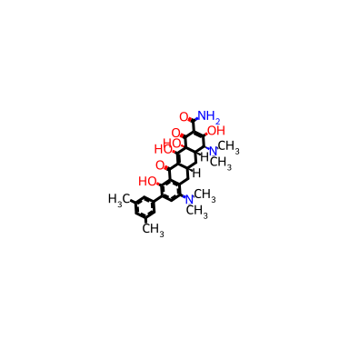 Cc1cc(C)cc(-c2cc(N(C)C)c3c(c2O)C(=O)C2=C(O)[C@]4(O)C(=O)C(C(N)=O)=C(O)[C@@H](N(C)C)[C@@H]4C[C@@H]2C3)c1